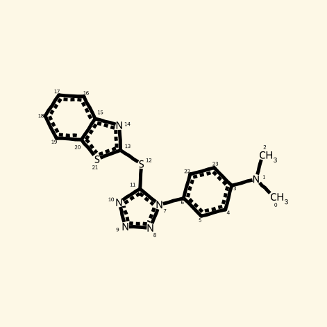 CN(C)c1ccc(-n2nnnc2Sc2nc3ccccc3s2)cc1